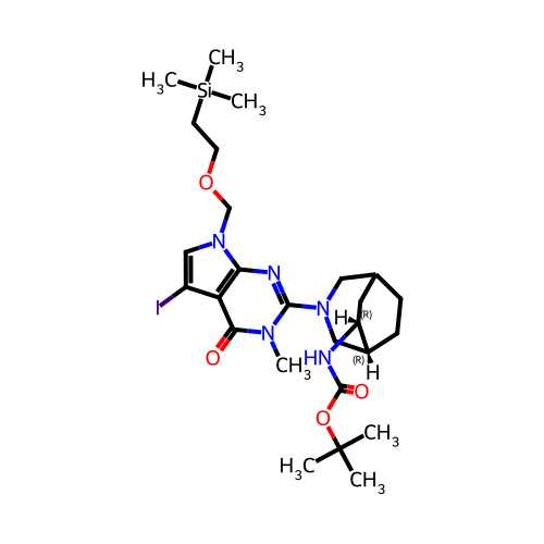 Cn1c(N2CC3CC[C@H](C2)[C@H](NC(=O)OC(C)(C)C)C3)nc2c(c(I)cn2COCC[Si](C)(C)C)c1=O